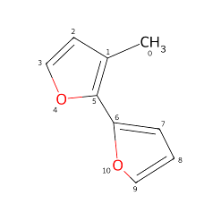 Cc1ccoc1-c1ccco1